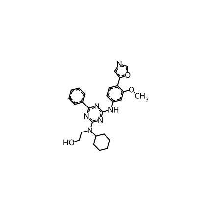 COc1cc(Nc2nc(-c3ccccc3)nc(N(CCO)C3CCCCC3)n2)ccc1-c1cnco1